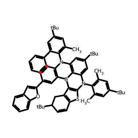 Cc1cc(C(C)(C)C)cc(C)c1N1c2cc(C(C)(C)C)cc3c2B(c2cc(-c4cc5ccccc5o4)ccc2N3c2c(C)cc(C(C)(C)C)cc2-c2ccccc2)c2c1sc1c2CC(C(C)(C)C)C=C1